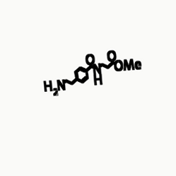 COC(=O)CCNC(=O)c1ccc(CCN)cc1